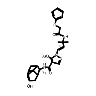 CC(C)COc1c(C(=O)N[C@H]2C3CC4CC2C[C@](O)(C4)C3)cnn1/C=C/C(C)(C)NC(=O)COc1ccccc1